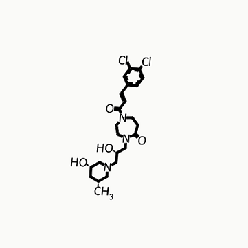 C[C@@H]1C[C@H](O)CN(C[C@H](O)CN2CCN(C(=O)C=Cc3ccc(Cl)c(Cl)c3)CCC2=O)C1